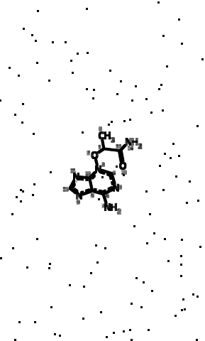 CC(On1cnc(N)c2ncnc1-2)C(N)=O